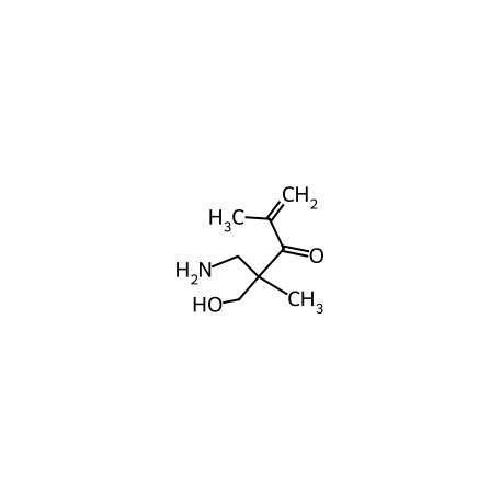 C=C(C)C(=O)C(C)(CN)CO